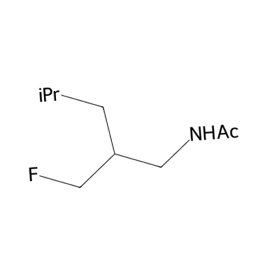 CC(=O)NCC(CF)CC(C)C